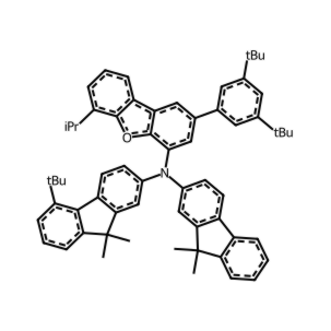 CC(C)c1cccc2c1oc1c(N(c3ccc4c(c3)C(C)(C)c3ccccc3-4)c3ccc4c(c3)C(C)(C)c3cccc(C(C)(C)C)c3-4)cc(-c3cc(C(C)(C)C)cc(C(C)(C)C)c3)cc12